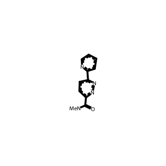 CNC(=O)c1ccc(-c2ccccn2)nn1